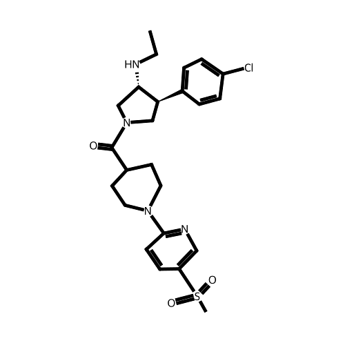 CCN[C@H]1CN(C(=O)C2CCN(c3ccc(S(C)(=O)=O)cn3)CC2)C[C@@H]1c1ccc(Cl)cc1